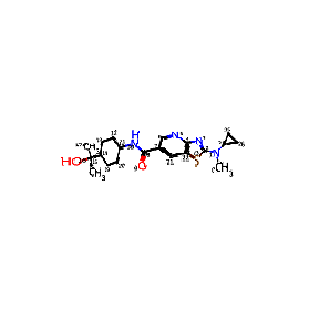 CN(c1nc2ncc(C(=O)NC3CCC(C(C)(C)O)CC3)cc2s1)C1CC1